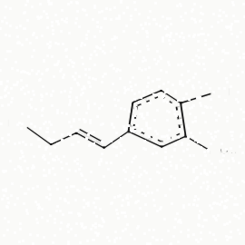 COc1cc(C=CCO)ccc1O